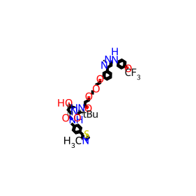 Cc1ncsc1-c1ccc(CNC(=O)[C@@H]2C[C@@H](O)CN2C(=O)[C@@H](NC(=O)CCOCCOCCOc2cccc(-c3cc(Nc4ccc(OC(F)(F)F)cc4)ncn3)c2)C(C)(C)C)cc1